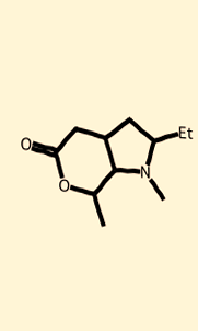 CCC1CC2CC(=O)OC(C)C2N1C